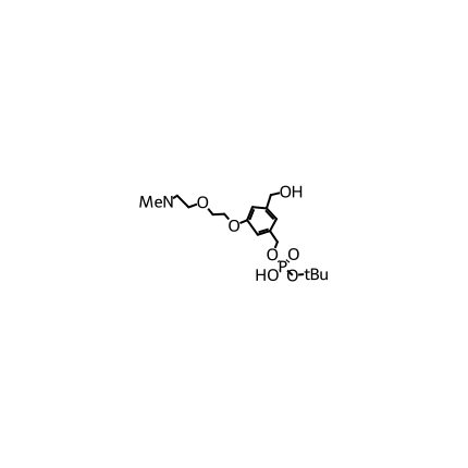 CNCCOCCOc1cc(CO)cc(COP(=O)(O)OC(C)(C)C)c1